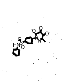 CC1=NN(c2ccc(S(=O)(=O)Nc3ccccc3)cc2)C(=O)C(=O)C1=O